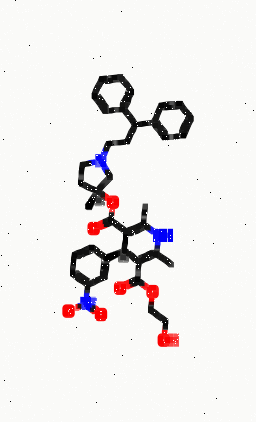 CC1=C(C(=O)OCCO)[C@@H](c2cccc([N+](=O)[O-])c2)C(C(=O)O[C@]2(C)CCN(CCC(c3ccccc3)c3ccccc3)C2)=C(C)N1